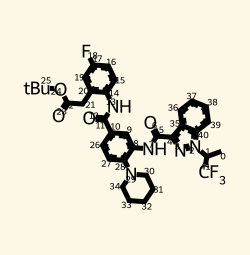 CC(n1nc(C(=O)Nc2cc(C(=O)Nc3ccc(F)cc3CC(=O)OC(C)(C)C)ccc2N2CCCCC2)c2ccccc21)C(F)(F)F